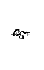 Cl.FCCCN1CCCNCC1